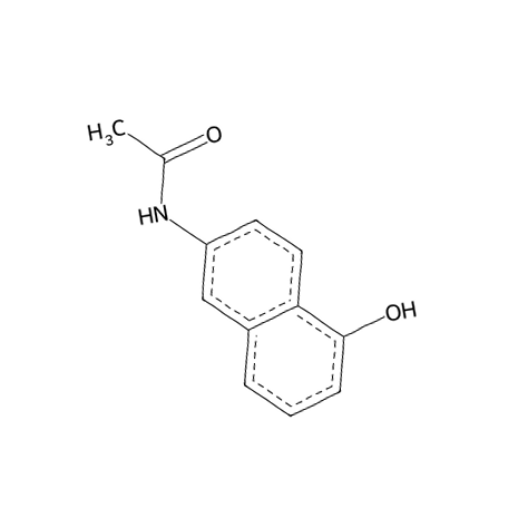 CC(=O)Nc1ccc2c(O)cccc2c1